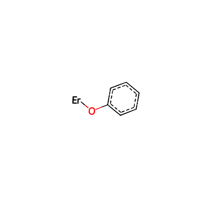 [Er][O]c1ccccc1